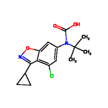 CC(C)(C)N(C(=O)O)c1cc(Cl)c2c(C3CC3)noc2c1